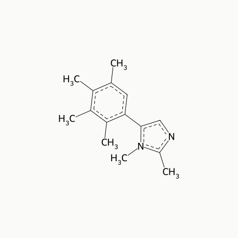 Cc1cc(-c2cnc(C)n2C)c(C)c(C)c1C